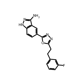 Nc1n[nH]c2ccc(-c3nnc(CCc4cccc(F)c4)o3)cc12